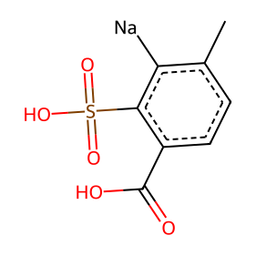 Cc1ccc(C(=O)O)c(S(=O)(=O)O)[c]1[Na]